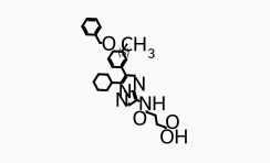 C[C@H]1C=C(c2cnc3c(NC(=O)CCC(=O)O)cnn3c2C2CCCCC2)C=CC1OCc1ccccc1